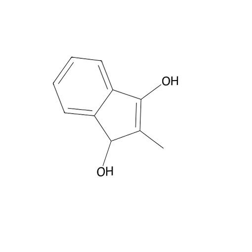 CC1=C(O)c2ccccc2C1O